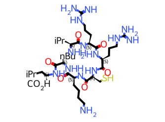 CCCC[C@H](NC(=O)[C@H](CCCCN)NC(=O)[C@H](CS)NC(=O)[C@H](CCCNC(=N)N)NC(=O)[C@H](CCCNC(=N)N)NC(=O)[C@@H](N)C(C)C)C(=O)N[C@@H](CC(C)C)C(=O)O